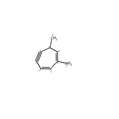 CC1C#CC=NC(N)=C1